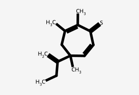 C=C(CC)C1(C)C=CC(=S)C(C)=C(C)C1